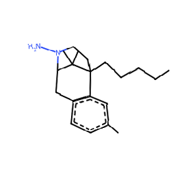 CCCCCC12CCN(N)C(Cc3ccc(C)cc31)C2(C)C